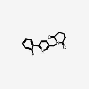 O=C1CCCC(=O)N1Cc1ccc(-c2ccccc2F)nc1